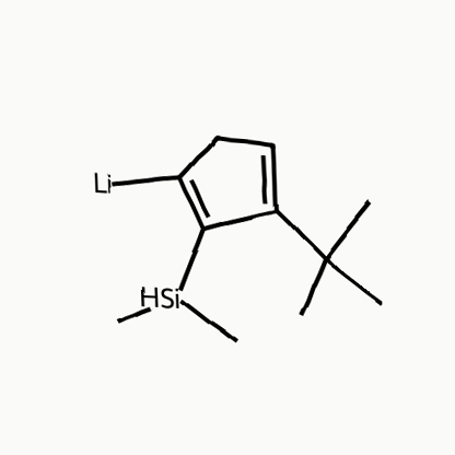 [Li][C]1=C([SiH](C)C)C(C(C)(C)C)=CC1